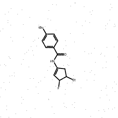 CCC1CC(NC(=O)c2ccc(C(C)(C)C)cc2)=CC1F